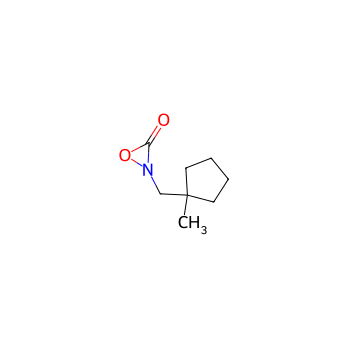 CC1(CN2OC2=O)CCCC1